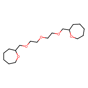 C1CCOC(COCCOCCOCC2CCCCCO2)CC1